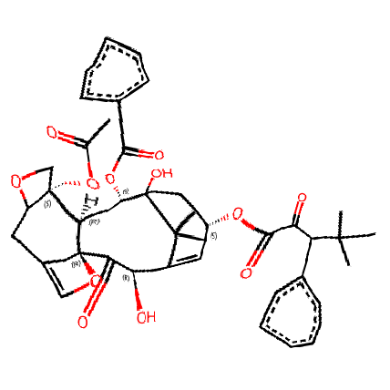 CC(=O)O[C@@]12COC1CC1=CO[C@@]13C(=O)[C@H](O)C1=C[C@@H](OC(=O)C(=O)C(c4ccccc4)C(C)(C)C)CC(O)([C@@H](OC(=O)c4ccccc4)[C@@H]32)C1(C)C